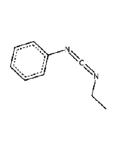 CCN=C=Nc1ccccc1